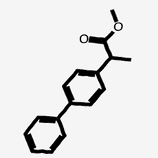 COC(=O)C(C)c1ccc(-c2ccccc2)cc1